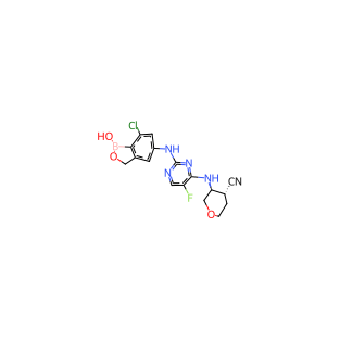 N#C[C@@H]1CCOC[C@H]1Nc1nc(Nc2cc(Cl)c3c(c2)COB3O)ncc1F